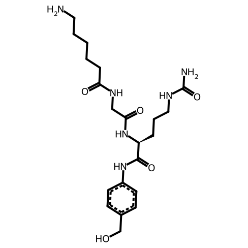 NCCCCCC(=O)NCC(=O)N[C@@H](CCCNC(N)=O)C(=O)Nc1ccc(CO)cc1